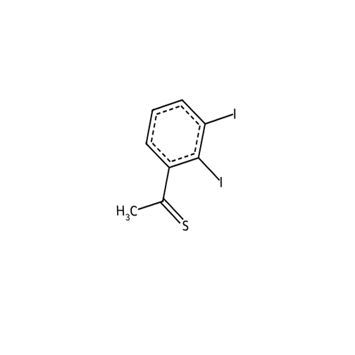 CC(=S)c1cccc(I)c1I